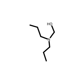 CCCN(CO)CCC